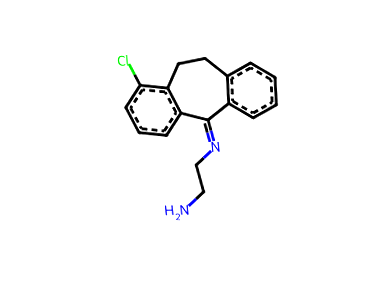 NCC/N=C1/c2ccccc2CCc2c(Cl)cccc21